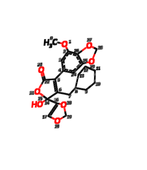 COc1cc(C2=C(CC3CCCCC3)C(O)(C3=COCO3)OC2=O)cc2c1OCO2